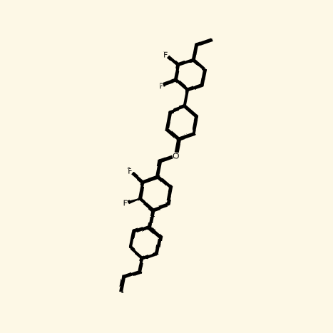 CCCC1CCC(C2CCC(COC3CCC(C4CCC(CC)C(F)C4F)CC3)C(F)[C@@H]2F)CC1